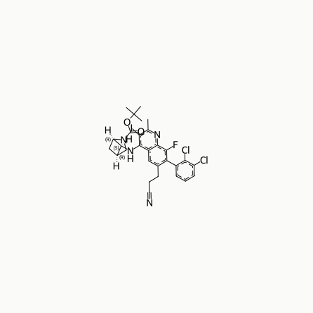 Cc1nc2c(F)c(-c3cccc(Cl)c3Cl)c(CCC#N)cc2c(N[C@H]2[C@@H]3C[C@H]2N(C(=O)OC(C)(C)C)C3)c1I